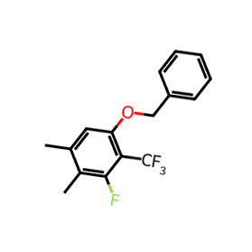 Cc1cc(OCc2ccccc2)c(C(F)(F)F)c(F)c1C